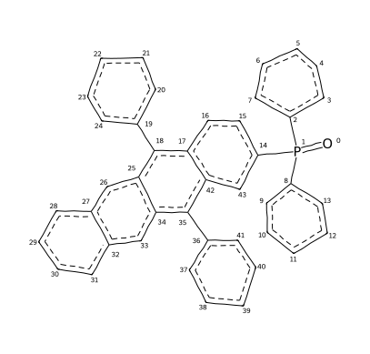 O=P(c1ccccc1)(c1ccccc1)c1ccc2c(-c3ccccc3)c3cc4ccccc4cc3c(-c3ccccc3)c2c1